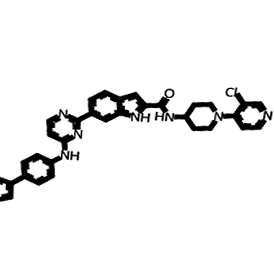 O=C(NC1CCN(c2ccncc2Cl)CC1)c1cc2ccc(-c3nccc(Nc4ccc(-c5cn[nH]c5)cc4)n3)cc2[nH]1